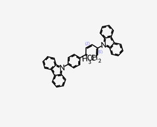 C=C(/C=C\C(=C/C)n1c2ccccc2c2ccccc21)c1ccc(-n2c3ccccc3c3ccccc32)cc1